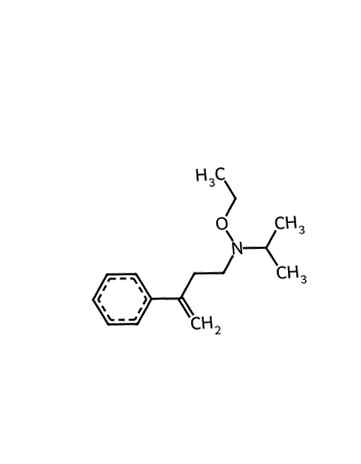 C=C(CCN(OCC)C(C)C)c1ccccc1